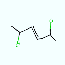 CC(Cl)/C=C/C(C)Cl